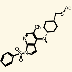 CC(=O)SC[C@H]1CC[C@H](N(C)c2c(C#N)cnc3c2ccn3S(=O)(=O)c2ccccc2)CC1